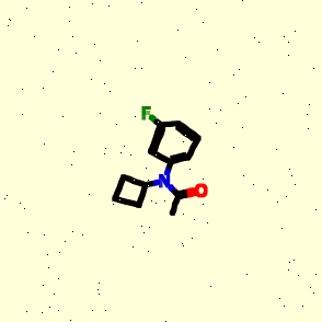 CC(=O)N(c1cccc(F)c1)C1CCC1